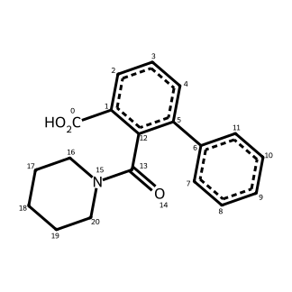 O=C(O)c1cccc(-c2ccccc2)c1C(=O)N1CCCCC1